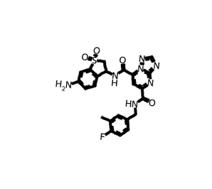 Cc1cc(CNC(=O)c2cc(C(=O)NC3CS(=O)(=O)c4cc(N)ccc43)n3ncnc3n2)ccc1F